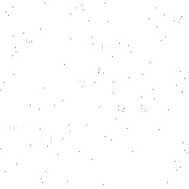 CCCC(O)CCCCC(O)C(c1cccc(Br)n1)c1cccc(-c2c(C)cc(C)cc2C)n1